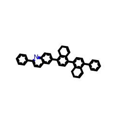 C1=Cc2c(-c3ccc(-c4ccccc4)c4c3CCC=C4)ccc(-c3ccc4nc(-c5ccccc5)ccc4c3)c2CC1